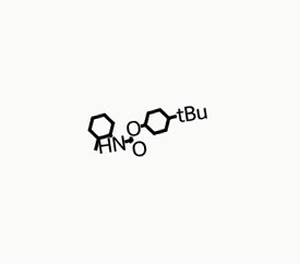 CC1CCCCC1NC(=O)OC1CCC(C(C)(C)C)CC1